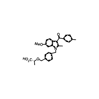 COc1ccc2c(C(=O)c3ccc(C)cc3)c(C)n(Cc3ccc(CO[C@H](C)C(=O)O)cc3)c2c1